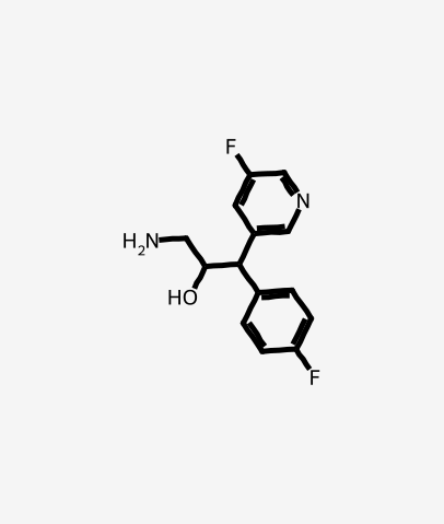 NCC(O)C(c1ccc(F)cc1)c1cncc(F)c1